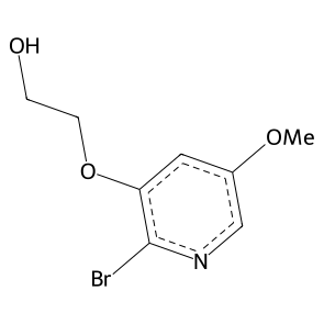 COc1cnc(Br)c(OCCO)c1